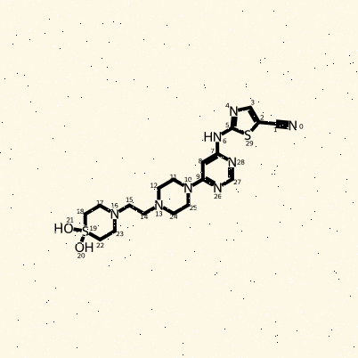 N#Cc1cnc(Nc2cc(N3CCN(CCN4CCS(O)(O)CC4)CC3)ncn2)s1